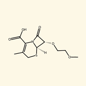 COCCO[C@H]1C(=O)N2C(C(=O)O)=C(C)CS[C@H]12